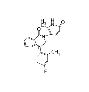 Cc1cc(F)ccc1N1CN(c2ccc(=O)[nH]c2C)C(=O)c2ccccc21